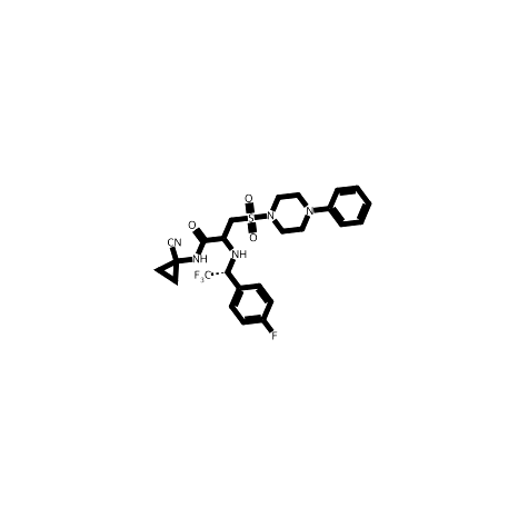 N#CC1(NC(=O)C(CS(=O)(=O)N2CCN(c3ccccc3)CC2)N[C@H](c2ccc(F)cc2)C(F)(F)F)CC1